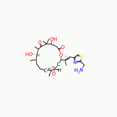 C/C(=C\c1csc(CN)n1)C1C[C@@H]2O[C@]2(C)CCCC(C)[C@H](O)C(C)C(=O)C(C)(C)C(O)CC(=O)O1